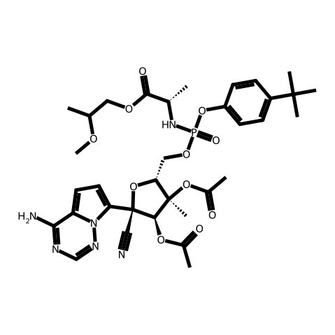 COC(C)COC(=O)[C@H](C)NP(=O)(OC[C@H]1O[C@@](C#N)(c2ccc3c(N)ncnn23)[C@H](OC(C)=O)[C@]1(C)OC(C)=O)Oc1ccc(C(C)(C)C)cc1